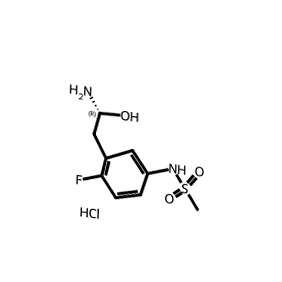 CS(=O)(=O)Nc1ccc(F)c(C[C@H](N)O)c1.Cl